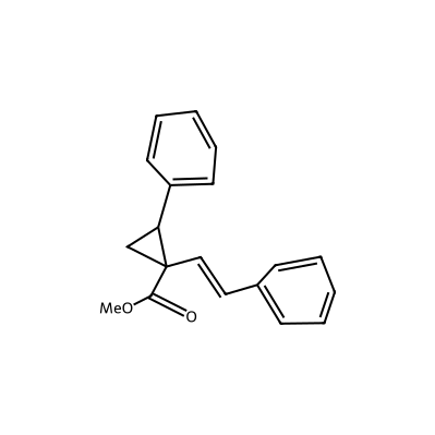 COC(=O)C1(C=Cc2ccccc2)CC1c1ccccc1